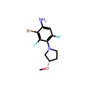 CO[C@H]1CCN(c2c(F)cc(N)c(Br)c2F)C1